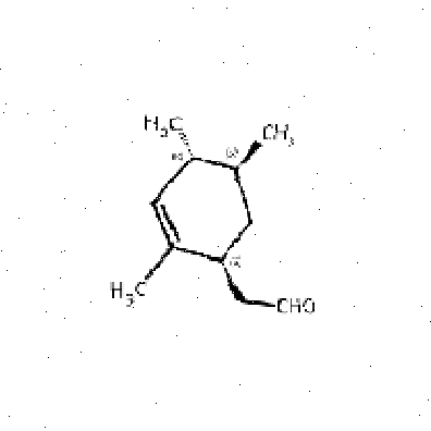 CC1=C[C@H](C)[C@@H](C)C[C@H]1CC=O